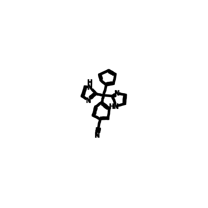 N#Cc1ccc(C(c2ccccc2)(c2ncc[nH]2)c2ncc[nH]2)cc1